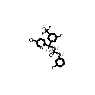 C[C@](NC(=O)Nc1cccc(F)c1)(c1cc(F)cc(C(F)(F)F)c1)c1ccc(Cl)cn1